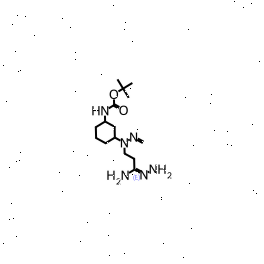 C=NN(CC/C(N)=N\N)C1CCCC(NC(=O)OC(C)(C)C)C1